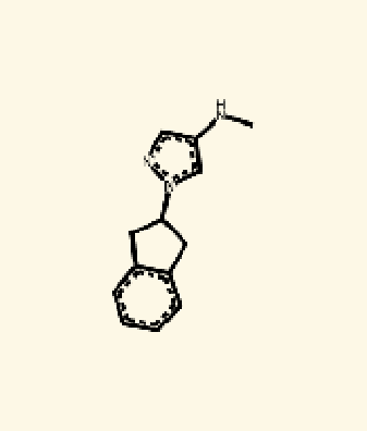 CNc1cnn(C2Cc3ccccc3C2)c1